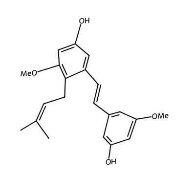 COc1cc(O)cc(C=Cc2cc(O)cc(OC)c2CC=C(C)C)c1